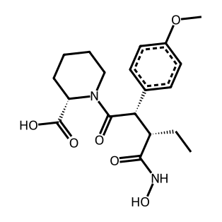 CC[C@H](C(=O)NO)[C@H](C(=O)N1CCCC[C@H]1C(=O)O)c1ccc(OC)cc1